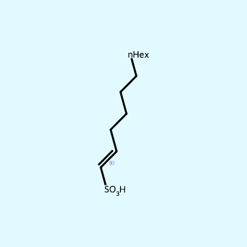 CCCCCCCCCC/C=C/S(=O)(=O)O